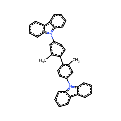 Cc1cc(-n2c3ccccc3c3ccccc32)ccc1-c1ccc(-n2c3ccccc3c3ccccc32)cc1C